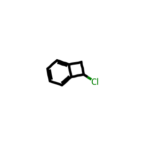 ClC1Cc2ccccc21